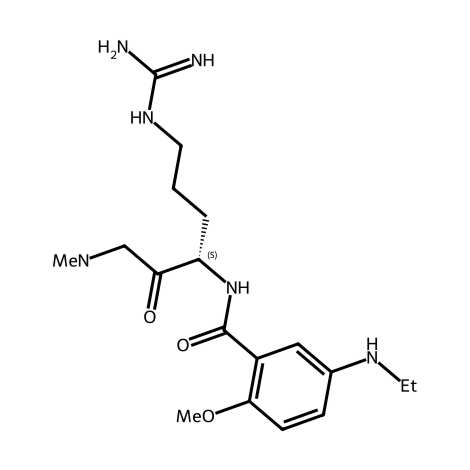 CCNc1ccc(OC)c(C(=O)N[C@@H](CCCNC(=N)N)C(=O)CNC)c1